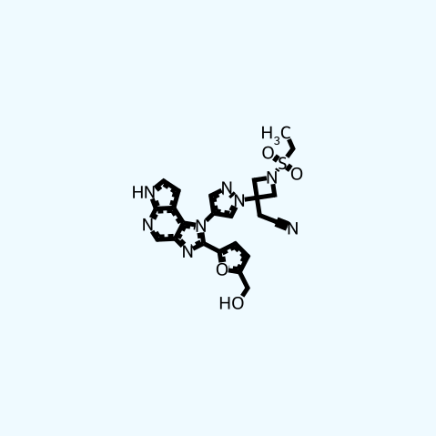 CCS(=O)(=O)N1CC(CC#N)(n2cc(-n3c(-c4ccc(CO)o4)nc4cnc5[nH]ccc5c43)cn2)C1